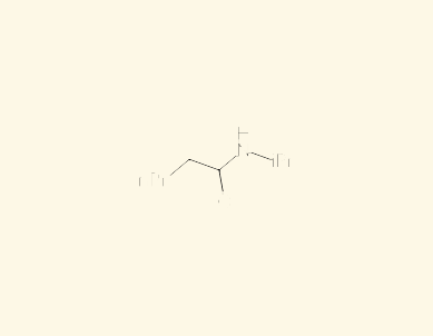 CCCCC([O])NC(C)C